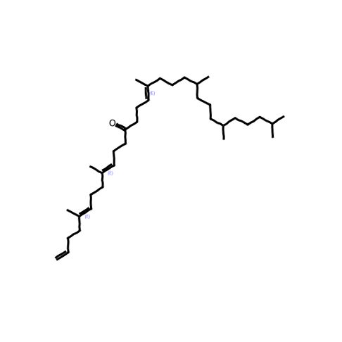 C=CCC/C(C)=C/CC/C(C)=C/CCC(=O)CC/C=C(\C)CCCC(C)CCCC(C)CCCC(C)C